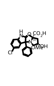 COc1ccccc1C1(N2C[C@H](O)C[C@@]2(C)C(=O)O)C(=O)Nc2ccc(Cl)cc21